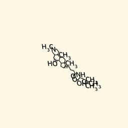 CN1CCC2(C)C(C[C@H](O)C3C2CCC2(C)C3CC[C@@H]2CCCC(=O)NC(COC(C)(C)C)C(=O)O)C1